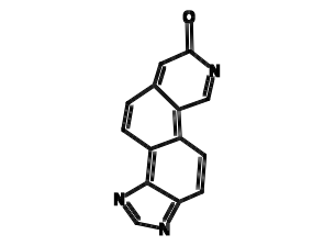 O=C1C=c2ccc3c4c(ccc3c2C=N1)=NC=N4